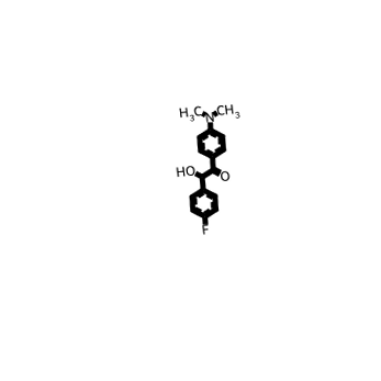 CN(C)c1ccc(C(=O)C(O)c2ccc(F)cc2)cc1